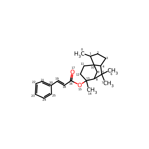 CC1CCC2C(C)(C)C3CC12CCC3(C)OC(=O)/C=C/c1ccccc1